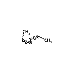 CCCCCCCCc1ccc(-c2ccc(-c3ccnc(-c4cc(-c5ccc(-c6ccc(CCCCCCCC)s6)s5)ccn4)c3)s2)s1